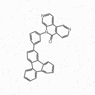 O=c1c2ccncc2c2ccncc2n1-c1cccc(-c2ccc3c4ccccc4c4ccccc4c3c2)c1